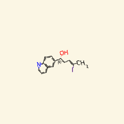 CC(I)=CC[C@@H](O)c1ccc2ncccc2c1